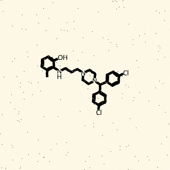 Cc1cccc(O)c1NCCCN1CCN(C(c2ccc(Cl)cc2)c2ccc(Cl)cc2)CC1